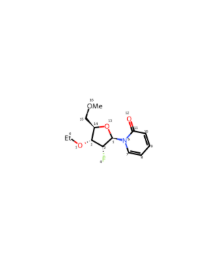 CCO[C@H]1[C@@H](F)[C@H](n2ccccc2=O)O[C@@H]1COC